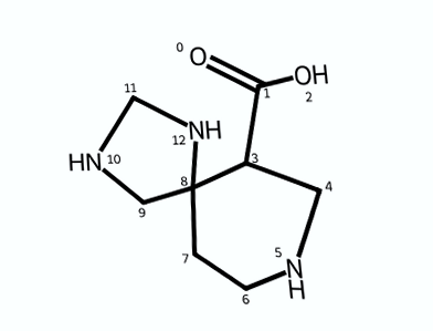 O=C(O)C1CNCCC12CNCN2